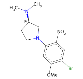 COc1cc(N2CC[C@@H](N(C)C)C2)c([N+](=O)[O-])cc1Br